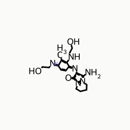 CC1=C(NCCO)C(=Nc2c(N)n3n(c2=O)CCCC3)C=C/C1=N\CCO